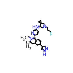 C[C@@H]1Cc2cc(-c3cn[nH]c3)ccc2[C@@H](c2ccc(N[C@@H]3CN(CCCF)CC34CC4)cn2)N1CC(F)(F)F